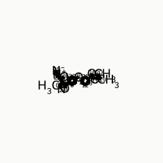 Cc1noc(-c2ccc(O[C@H]3CCC[C@H](C(=O)OC(C)C)C3)cc2)c1C(=O)C=[N+]=[N-]